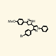 COc1ccc(C2=NNC(c3cn(-c4ccccc4)nc3-c3ccc(Br)cc3)C2)cc1